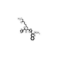 CCC(=O)CCCCC[C@H](NC(=O)c1cncs1)c1ncc(-c2cc3ccccc3nc2OC)o1